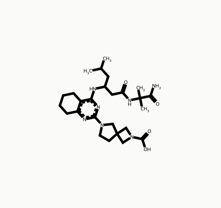 CC(C)CC(CC(=O)NC(C)(C)C(N)=O)Nc1nc(N2CCC3(CN(C(=O)O)C3)C2)nc2c1CCCC2